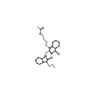 CCCn1c(=O)n(Cc2nc(=O)c3ccccc3n2CCCCOC(C)=O)c2ccccc21